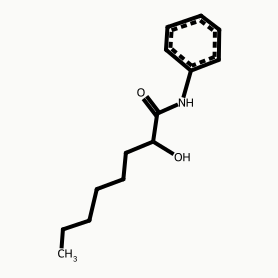 CCCCCCC(O)C(=O)Nc1ccccc1